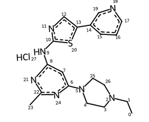 CCN1CCN(c2cc(Nc3ncc(-c4cccnc4)s3)nc(C)n2)CC1.Cl